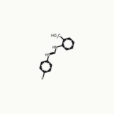 O=C(O)c1ccccc1NC=[SH]c1ccc(F)cc1